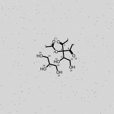 CC(=O)OC(C(C)=O)(C(C)=O)C(O)CO.OCC(O)CO